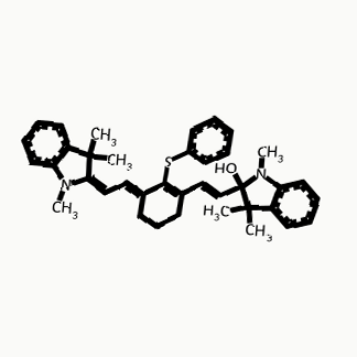 CN1/C(=C/C=C2\CCCC(/C=C/C3(O)N(C)c4ccccc4C3(C)C)=C2Sc2ccccc2)C(C)(C)c2ccccc21